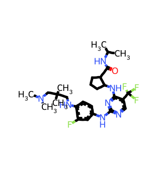 CC(C)NC(=O)C1CCCC1Nc1nc(Nc2ccc(NCC(C)(C)CN(C)C)c(F)c2)ncc1C(F)(F)F